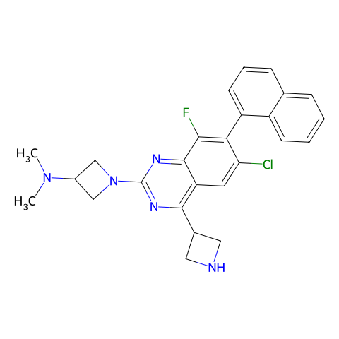 CN(C)C1CN(c2nc(C3CNC3)c3cc(Cl)c(-c4cccc5ccccc45)c(F)c3n2)C1